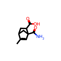 CC1=CC2(C(N)=O)CC1CC2C(=O)O